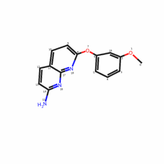 COc1cccc(Oc2ccc3ccc(N)nc3n2)c1